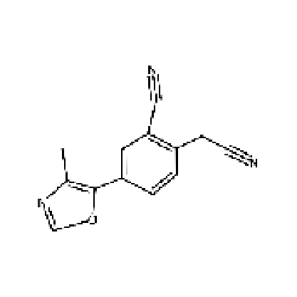 Cc1ncoc1-c1ccc(CC#N)c(C#N)c1